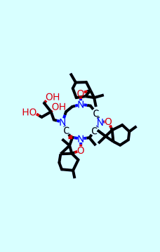 CC1CCC2C(C)(C)C2(ON2CCN(CC(O)(CO)CO)CCN(OC34CC(C)CCC3C4(C)C)C(C)CN(OC34CC(C)CCC3C4(C)C)CC2)C1